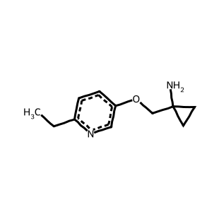 CCc1ccc(OCC2(N)CC2)cn1